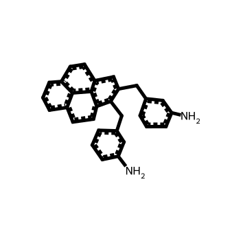 Nc1cccc(Cc2cc3ccc4cccc5ccc(c2Cc2cccc(N)c2)c3c45)c1